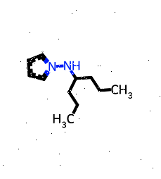 CCCC(CCC)Nn1[c]ccc1